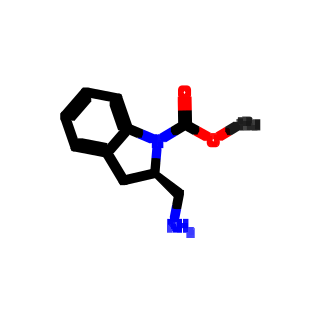 CC(C)(C)OC(=O)N1c2ccccc2C[C@@H]1CN